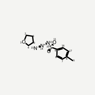 C1CCOC1.Cc1ccc(S(=O)(=O)N=[N+]=[N-])cc1